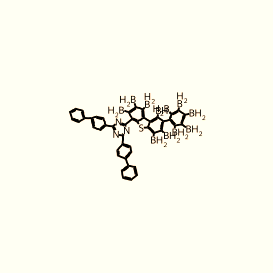 Bc1c(B)c(B)c(-c2c(B)c(B)c3sc4c(-c5nc(-c6ccc(-c7ccccc7)cc6)nc(-c6ccc(-c7ccccc7)cc6)n5)c(B)c(B)c(B)c4c3c2B)c(B)c1B